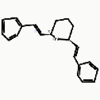 C(=C[C@@H]1CCC[C@H](/C=C/c2ccccc2)N1)c1ccccc1